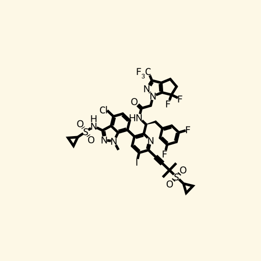 Cn1nc(NS(=O)(=O)C2CC2)c2c(Cl)ccc(-c3cc(I)c(C#CC(C)(C)S(=O)(=O)C4CC4)nc3[C@H](Cc3cc(F)cc(F)c3)NC(=O)Cn3nc(C(F)(F)F)c4c3C(F)(F)CC4)c21